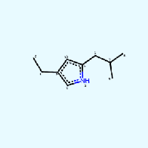 CCc1c[nH]c(CC(C)C)c1